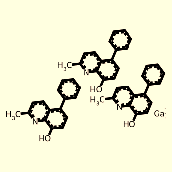 Cc1ccc2c(-c3ccccc3)ccc(O)c2n1.Cc1ccc2c(-c3ccccc3)ccc(O)c2n1.Cc1ccc2c(-c3ccccc3)ccc(O)c2n1.[Ga]